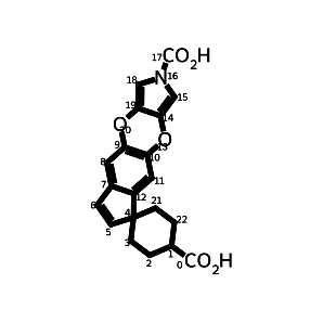 O=C(O)C1CCC2(C=Cc3cc4c(cc32)Oc2cn(C(=O)O)cc2O4)CC1